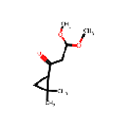 COC(CC(=O)C1CC1(C)C)OC